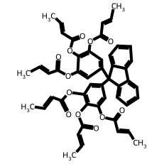 CC=CC(=O)Oc1cc(C2(c3cc(OC(=O)C=CC)c(OC(=O)C=CC)c(OC(=O)C=CC)c3)c3ccccc3-c3ccccc32)cc(OC(=O)C=CC)c1OC(=O)C=CC